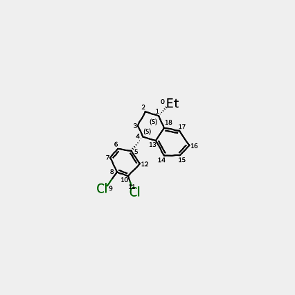 CC[C@H]1CC[C@@H](c2ccc(Cl)c(Cl)c2)c2ccccc21